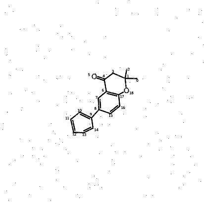 CC1(C)CC(=O)c2cc(-c3ccccc3)ccc2O1